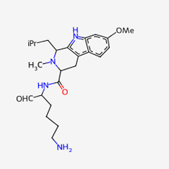 COc1ccc2c3c([nH]c2c1)C(CC(C)C)N(C)C(C(=O)NC(C=O)CCCCN)C3